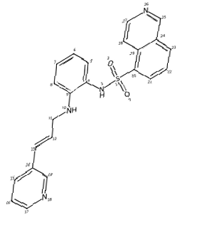 O=S(=O)(Nc1ccccc1NCC=Cc1cccnc1)c1cccc2cnccc12